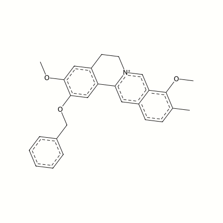 COc1cc2c(cc1OCc1ccccc1)-c1cc3ccc(C)c(OC)c3c[n+]1CC2